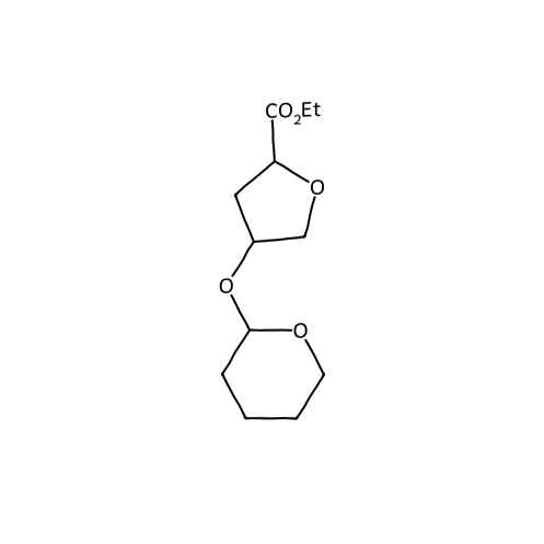 CCOC(=O)C1CC(OC2CCCCO2)CO1